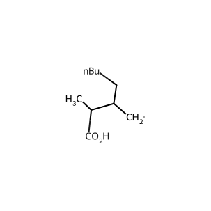 [CH2]C(CCCCC)C(C)C(=O)O